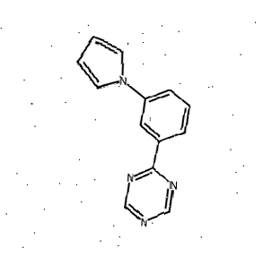 c1cc(-c2ncncn2)cc(-n2cccc2)c1